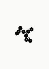 C1=CC(c2ccc(N(c3ccc(-c4ccccc4)cc3)c3ccc(-n4c5ccccc5c5cc6ccccc6cc54)cc3)cc2)C2Oc3ccccc3C2=C1